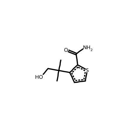 CC(C)(CO)c1ccsc1C(N)=O